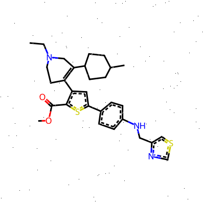 CCN1CCC(c2cc(-c3ccc(NCc4cscn4)cc3)sc2C(=O)OC)=C(C2CCC(C)CC2)C1